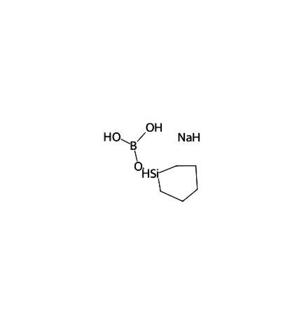 OB(O)O[SiH]1CCCCC1.[NaH]